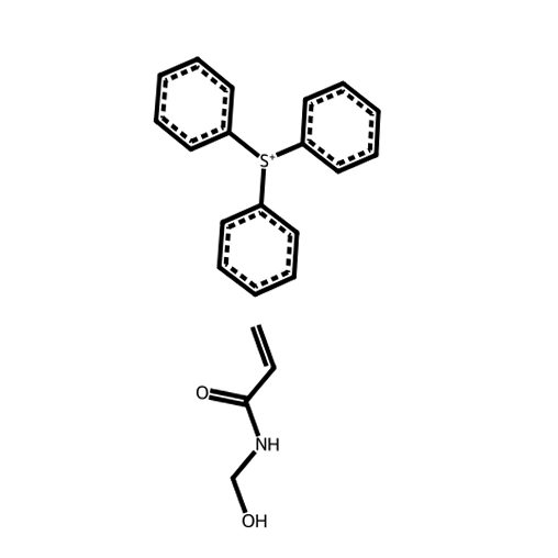 C=CC(=O)NCO.c1ccc([S+](c2ccccc2)c2ccccc2)cc1